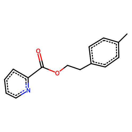 Cc1ccc(CCOC(=O)c2ccccn2)cc1